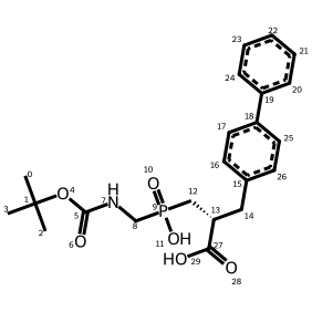 CC(C)(C)OC(=O)NCP(=O)(O)C[C@H](Cc1ccc(-c2ccccc2)cc1)C(=O)O